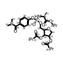 CC(C)OC(=O)[C@H](C)NP(=O)(OCC1OCC(OC(=O)C(C)C)C1OC(=O)C(C)C)Oc1ccc(C(=O)N(C)C)cc1